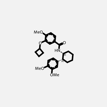 COc1ccc([C@H]2CCCC[C@H]2NC(=O)c2ccc(OC)c(OC3CCC3)c2)cc1OC